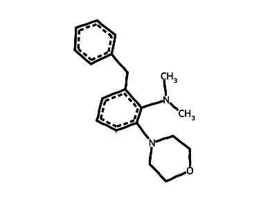 CN(C)c1c(N2CCOCC2)[c]ccc1Cc1ccccc1